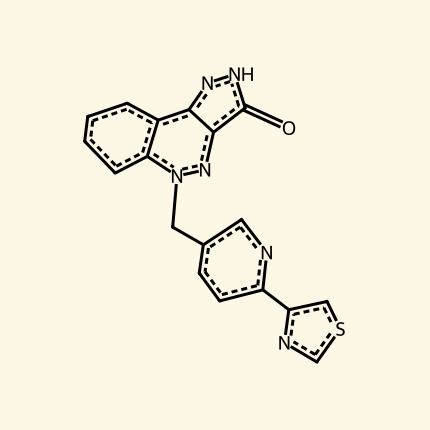 O=c1[nH]nc2c3ccccc3n(Cc3ccc(-c4cscn4)nc3)nc1-2